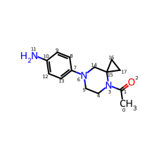 CC(=O)N1CCN(c2ccc(N)cc2)CC12CC2